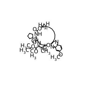 COc1ccc2nc3c(nc2c1)O[C@H]1CN(C(=O)[C@H](C2(C)CCCC2)NC(=O)O[C@@H]2C[C@H]2CCCCC3)[C@H](C(=O)OC(C)(C)C)[C@@H]1C